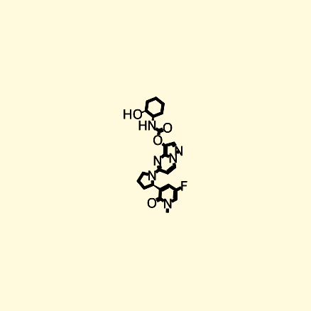 Cn1cc(F)cc([C@H]2CCCN2c2ccn3ncc(OC(=O)N[C@@H]4CCCC[C@H]4O)c3n2)c1=O